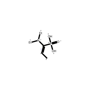 C/C=C(/N(CC)CC)P(=O)(O)O